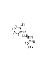 CC(C)(C)OC(=O)NNCc1ccccc1F